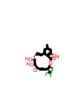 Cc1cc(O)c2c(c1)/C=C/C[C@H](O)[C@H](O)C(=O)/C=C\[C@H](C(F)(F)F)[C@H](C)OC2=O